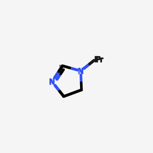 CC(C)N1[C]=NCC1